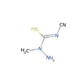 CN(N)C(S)=NC#N